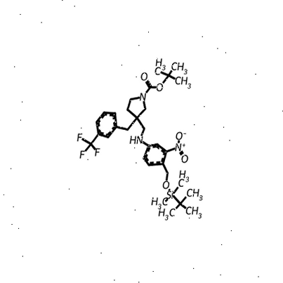 CC(C)(C)OC(=O)N1CCC(CNc2ccc(CO[Si](C)(C)C(C)(C)C)c([N+](=O)[O-])c2)(Cc2cccc(C(F)(F)F)c2)C1